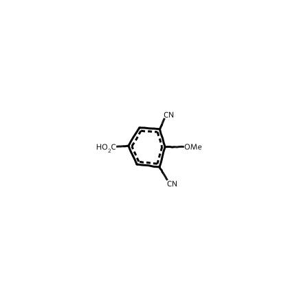 COc1c(C#N)cc(C(=O)O)cc1C#N